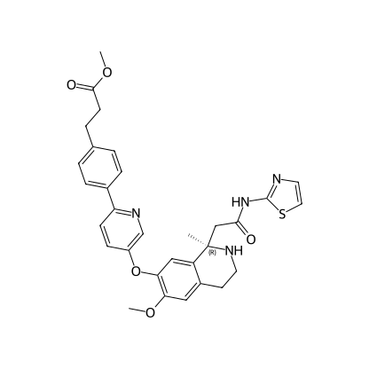 COC(=O)CCc1ccc(-c2ccc(Oc3cc4c(cc3OC)CCN[C@]4(C)CC(=O)Nc3nccs3)cn2)cc1